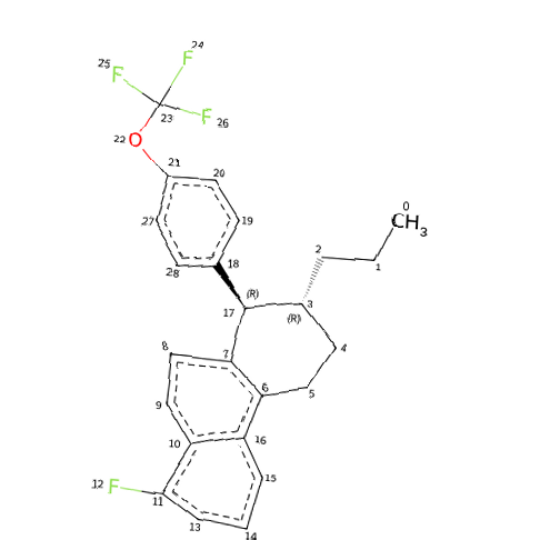 CCC[C@@H]1CCc2c(ccc3c(F)cccc23)[C@H]1c1ccc(OC(F)(F)F)cc1